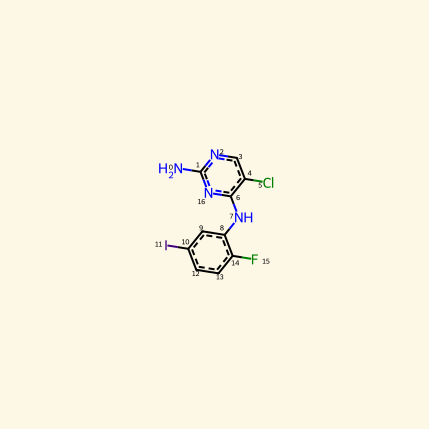 Nc1ncc(Cl)c(Nc2cc(I)ccc2F)n1